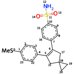 CSc1ccc(C2=C(c3ccc(S(N)(=O)=O)cc3)CC3(CC3)C2)cc1